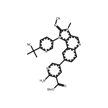 COC(=O)c1cc(-c2ccc3ncc4c(c3c2)n(-c2ccc(C(C)(C)C#N)nc2)c(=NC#N)n4C)cnc1N